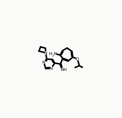 CC(C)OC1=CCC=C(N)C(C(=N)c2cc(N3CCC3)ncn2)=C1